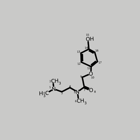 CN(C)CCN(C)C(=O)COc1ccc(O)cc1